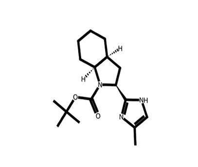 Cc1c[nH]c([C@@H]2C[C@@H]3CCCC[C@@H]3N2C(=O)OC(C)(C)C)n1